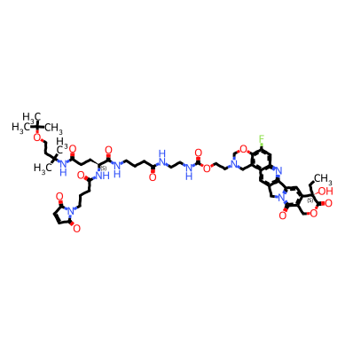 CC[C@@]1(O)C(=O)OCc2c1cc1n(c2=O)Cc2cc3c4c(c(F)cc3nc2-1)OCN(CCOC(=O)NCCNC(=O)CCCNC(=O)[C@H](CCC(=O)NC(C)(C)CCOC(C)(C)C)NC(=O)CCCN1C(=O)C=CC1=O)C4